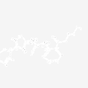 CCCCCC(=O)c1ccccc1NC(=O)Nc1nc(-c2ccccc2)ns1